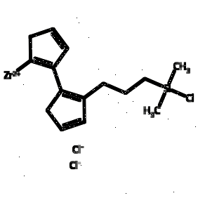 C[Si](C)(Cl)CCCC1=C(C2=[C]([Zr+2])CC=C2)CC=C1.[Cl-].[Cl-]